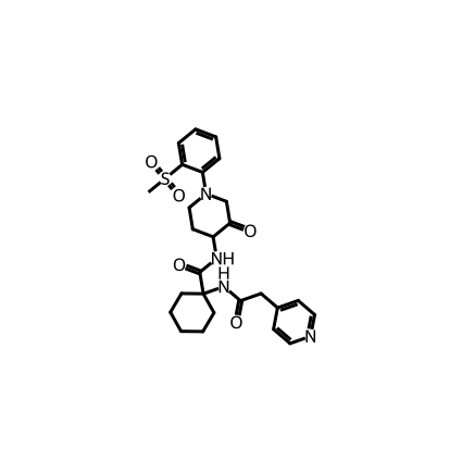 CS(=O)(=O)c1ccccc1N1CCC(NC(=O)C2(NC(=O)Cc3ccncc3)CCCCC2)C(=O)C1